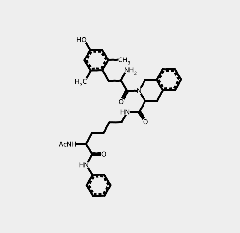 CC(=O)NC(CCCCNC(=O)C1Cc2ccccc2CN1C(=O)C(N)Cc1c(C)cc(O)cc1C)C(=O)Nc1ccccc1